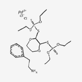 CCOP(=S)(OCC)SC1OCCOC1SP(=S)(OCC)OCC.NCCc1ccccc1.[Cl-].[Cl-].[Pd+2]